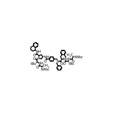 CN[C@@H](C)C(=O)N[C@H](C(=O)N1C[C@@H](NC(=O)c2ccc(CN(Cc3ccccc3)C(=O)C3Cc4ccccc4CN3C(=O)[C@@H](NC(=O)[C@H](C)NC)C(C)(C)C)cc2)CC1C(=O)NC1CCCc2ccccc21)C(C)(C)C